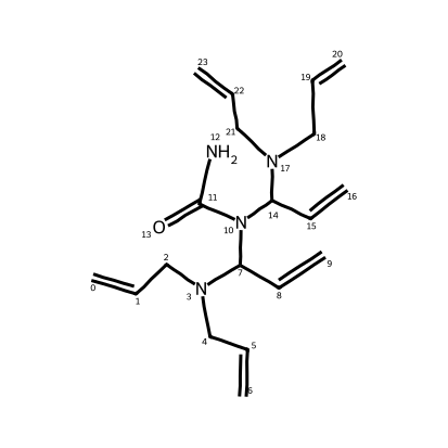 C=CCN(CC=C)C(C=C)N(C(N)=O)C(C=C)N(CC=C)CC=C